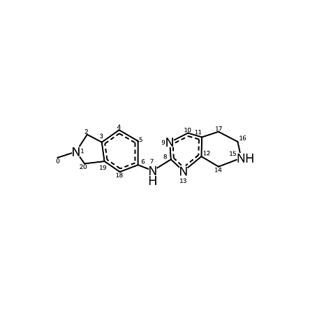 CN1Cc2ccc(Nc3ncc4c(n3)CNCC4)cc2C1